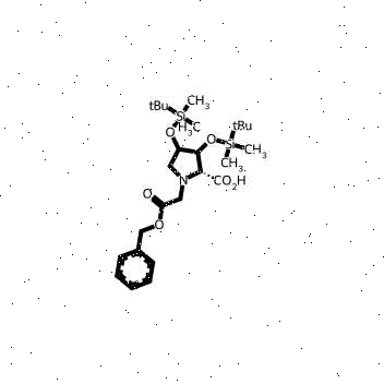 CC(C)(C)[Si](C)(C)OC1CN(CC(=O)OCc2ccccc2)[C@@H](C(=O)O)C1O[Si](C)(C)C(C)(C)C